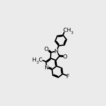 Cc1ccc(N2C(=O)c3c(C)nc4ccc(F)cc4c3C2=O)cc1